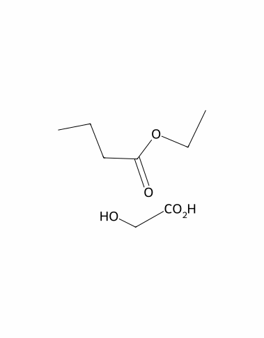 CCCC(=O)OCC.O=C(O)CO